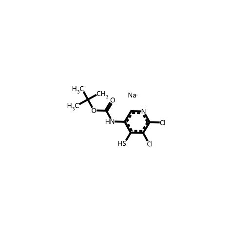 CC(C)(C)OC(=O)Nc1cnc(Cl)c(Cl)c1S.[Na]